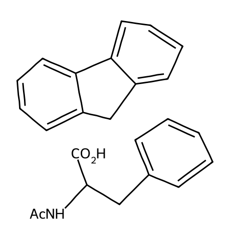 CC(=O)NC(Cc1ccccc1)C(=O)O.c1ccc2c(c1)Cc1ccccc1-2